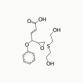 O=C(O)C=CC(Oc1ccccc1)C1CO1.OCCSCCO